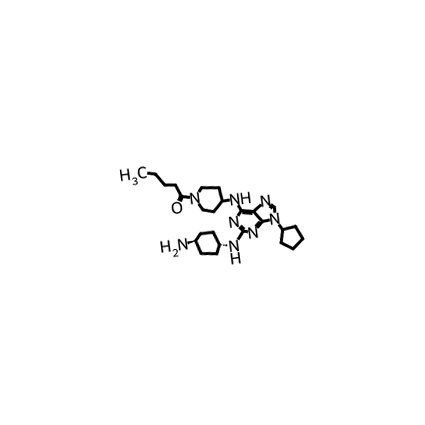 CCCCC(=O)N1CCC(Nc2nc(N[C@H]3CC[C@H](N)CC3)nc3c2ncn3C2CCCC2)CC1